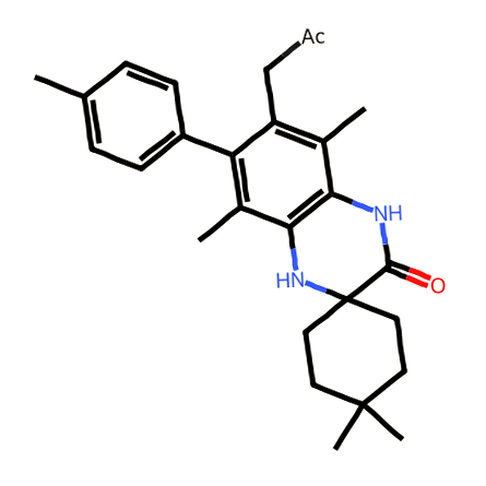 CC(=O)Cc1c(C)c2c(c(C)c1-c1ccc(C)cc1)NC1(CCC(C)(C)CC1)C(=O)N2